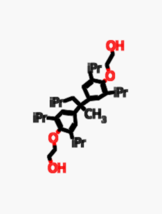 CC(C)CC(C)(c1cc(C(C)C)c(OCCO)c(C(C)C)c1)c1cc(C(C)C)c(OCCO)c(C(C)C)c1